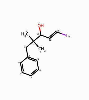 CC(C)(Cc1ccccc1)C(O)/C=C/I